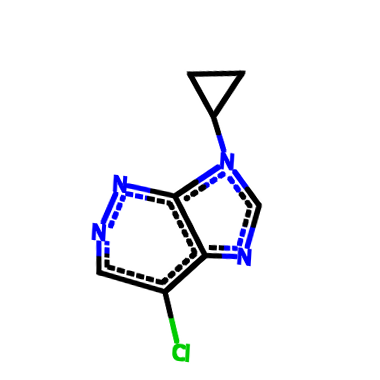 Clc1cnnc2c1ncn2C1CC1